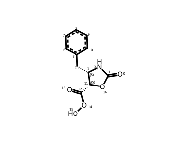 O=C1N[C@@H](Cc2ccccc2)[C@@H](C(=O)OO)O1